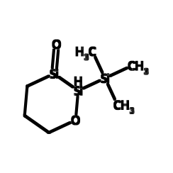 C[Si](C)(C)[SiH]1OCCC[Si]1=O